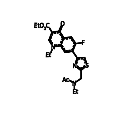 CCOC(=O)c1cn(CC)c2cc(-c3csc(CN(CC)C(C)=O)n3)c(F)cc2c1=O